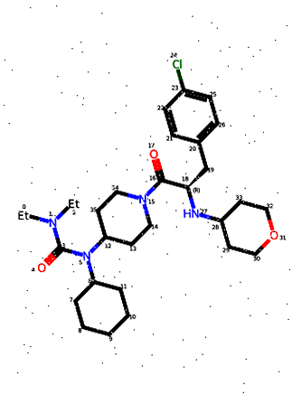 CCN(CC)C(=O)N(C1CCCCC1)C1CCN(C(=O)[C@@H](Cc2ccc(Cl)cc2)NC2CCOCC2)CC1